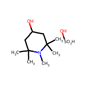 CN1C(C)(C)CC(O)CC1(C)C.O=S(=O)(O)O